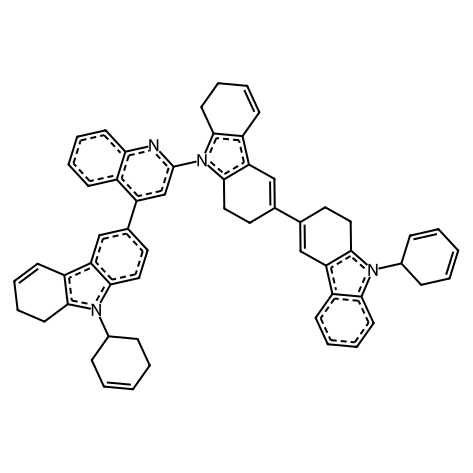 C1=CCC(n2c3c(c4ccccc42)C=C(C2=Cc4c5c(n(-c6cc(-c7ccc8c(c7)c7c(n8C8CC=CCC8)CCC=C7)c7ccccc7n6)c4CC2)CCC=C5)CC3)C=C1